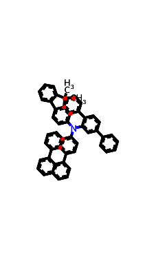 CC1(C)c2ccccc2-c2ccc(N(c3ccc(-c4cccc5cccc(-c6ccccc6)c45)cc3)c3cc(-c4ccccc4)ccc3-c3ccccc3)cc21